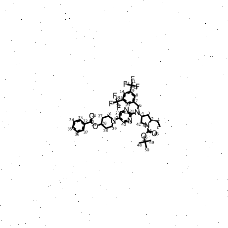 CC[C@@H]1C[C@H](N(Cc2cc(C(F)(F)F)cc(C(F)(F)F)c2)c2ncc(N3CCC(OC(=O)c4ccccc4)CC3)cn2)CN1C(=O)OC(C)(C)C